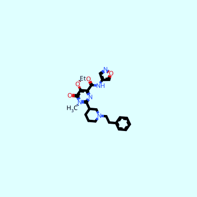 CCOc1c(C(=O)Nc2cnoc2)nc(C2CCCN(CCc3ccccc3)C2)n(C)c1=O